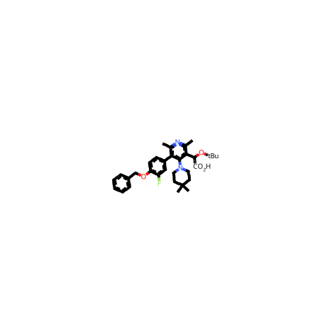 Cc1nc(C)c(C(OC(C)(C)C)C(=O)O)c(N2CCC(C)(C)CC2)c1-c1ccc(OCc2ccccc2)c(F)c1